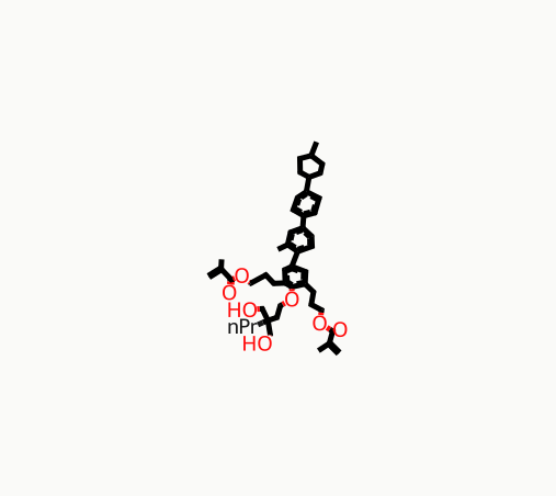 C=C(C)C(=O)OCCCc1cc(-c2ccc(-c3ccc(C4CCC(C)CC4)cc3)cc2C)cc(CCCOC(=O)C(=C)C)c1OCCC(CO)(CO)CCC